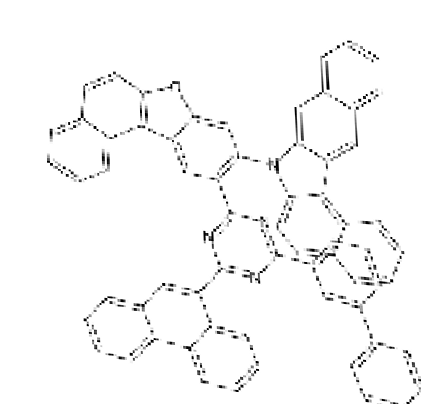 c1ccc(-c2cccc(-c3nc(-c4cc5c(cc4-n4c6cc7ccccc7cc6c6c7ccccc7ccc64)oc4ccc6ccccc6c45)nc(-c4cc5ccccc5c5ccccc45)n3)c2)cc1